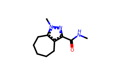 CNC(=O)c1nn(C)c2c1CCCCC2